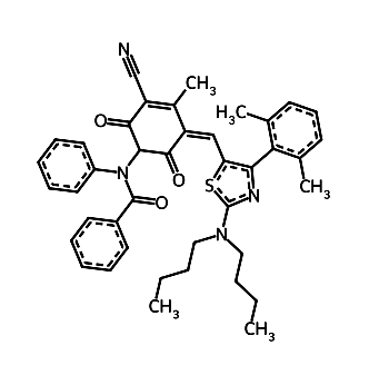 CCCCN(CCCC)c1nc(-c2c(C)cccc2C)c(/C=C2\C(=O)C(N(C(=O)c3ccccc3)c3ccccc3)C(=O)C(C#N)=C2C)s1